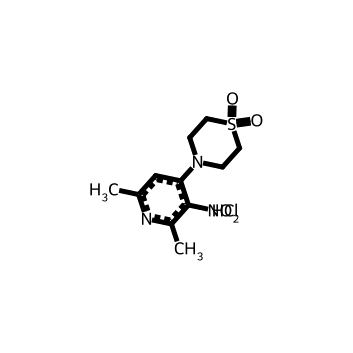 Cc1cc(N2CCS(=O)(=O)CC2)c([N+](=O)[O-])c(C)n1.Cl